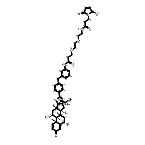 C[C@]12C=CC(=O)C=C1[C@@H](F)C[C@H]1[C@@H]3C[C@H]4OC(c5ccc(Cc6cccc(NC(=O)CCOCCOCCNC(=O)CCN7C(=O)C=CC7O)c6)cc5)O[C@@]4(C(=O)CO)[C@@]3(C)C[C@H](O)[C@@]12F